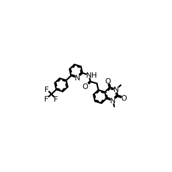 Cn1c(=O)c2c(CC(=O)Nc3cccc(-c4ccc(C(F)(F)F)cc4)n3)cccc2n(C)c1=O